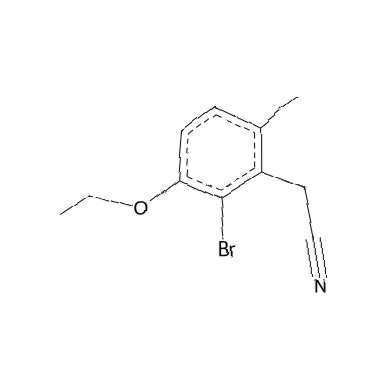 CCOc1ccc(C)c(CC#N)c1Br